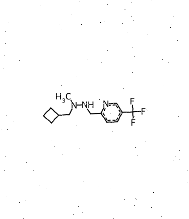 CN(CC1CCC1)NCc1ccc(C(F)(F)F)cn1